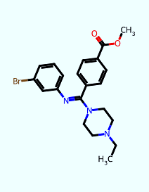 CCN1CCN(C(=Nc2cccc(Br)c2)c2ccc(C(=O)OC)cc2)CC1